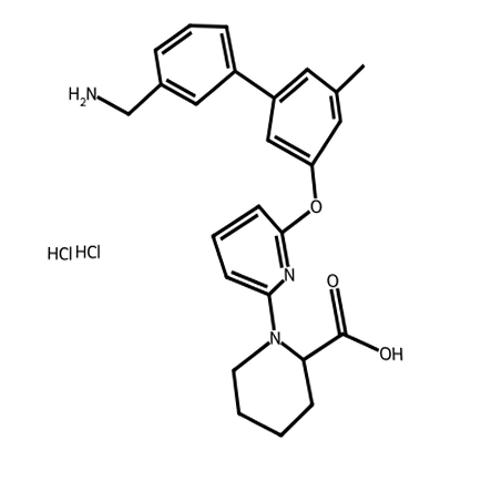 Cc1cc(Oc2cccc(N3CCCCC3C(=O)O)n2)cc(-c2cccc(CN)c2)c1.Cl.Cl